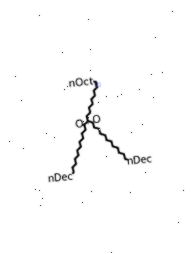 CCCCCCCC/C=C\CCCCCCC[C](C(=O)CCCCCCCCCCCCCCCCCCCCC)C(=O)CCCCCCCCCCCCCCCCCCCCC